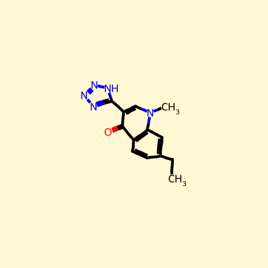 CCc1ccc2c(=O)c(-c3nnn[nH]3)cn(C)c2c1